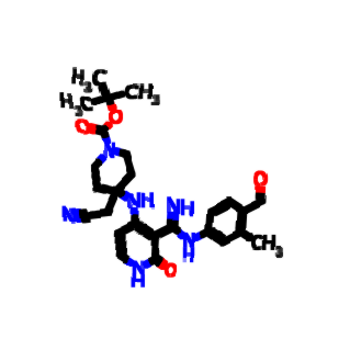 Cc1cc(NC(=N)c2c(NC3(CC#N)CCN(C(=O)OC(C)(C)C)CC3)cc[nH]c2=O)ccc1C=O